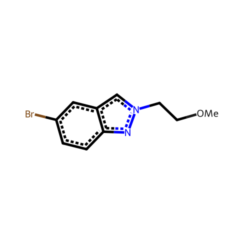 COCCn1cc2cc(Br)ccc2n1